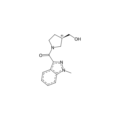 Cn1nc(C(=O)N2CC[C@@H](CO)C2)c2ccccc21